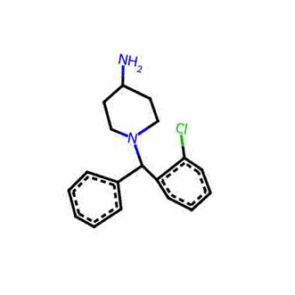 NC1CCN(C(c2ccccc2)c2ccccc2Cl)CC1